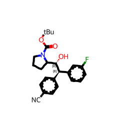 CC(C)(C)OC(=O)N1CCCC1[C@H](O)[C@H](c1ccc(C#N)cc1)c1cccc(F)c1